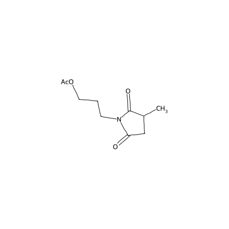 CC(=O)OCCCN1C(=O)CC(C)C1=O